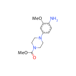 COC(=O)N1CCN(c2ccc(N)c(OC)c2)CC1